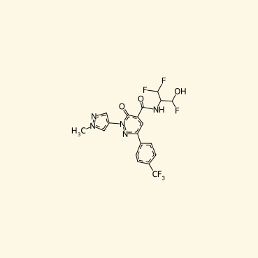 Cn1cc(-n2nc(-c3ccc(C(F)(F)F)cc3)cc(C(=O)NC(C(O)F)C(F)F)c2=O)cn1